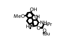 COc1cc(O)c2c3c1C[C@@H]1[C@@H]4CC[C@@H](N[C@H](C(=O)OC(C)(C)C)C(C)C)[C@H](O2)[C@]34CCN1C